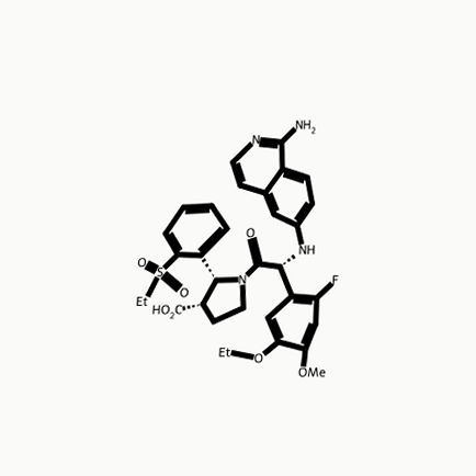 CCOc1cc([C@@H](Nc2ccc3c(N)nccc3c2)C(=O)N2CC[C@H](C(=O)O)[C@@H]2c2ccccc2S(=O)(=O)CC)c(F)cc1OC